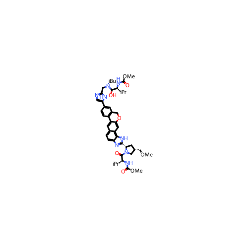 CC[C@H](C)N(Cc1ncc(-c2ccc3c(c2)COc2cc4c(ccc5nc([C@@H]6C[C@H](COC)CN6C(=O)[C@@H](NC(=O)OC)C(C)C)[nH]c54)cc2-3)[nH]1)C(O)[C@@H](NC(=O)OC)C(C)C